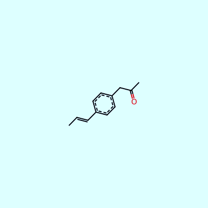 CC=Cc1ccc(CC(C)=O)cc1